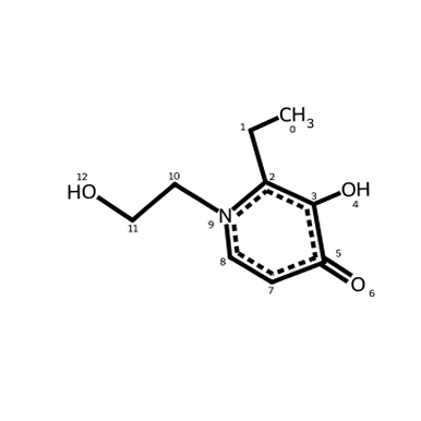 CCc1c(O)c(=O)ccn1CCO